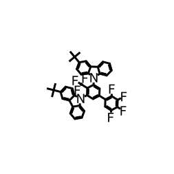 CC(C)(C)c1ccc2c(c1)c1ccccc1n2-c1cc(-c2cc(F)c(F)c(F)c2F)cc(-n2c3ccccc3c3cc(C(C)(C)C)ccc32)c1C(F)(F)F